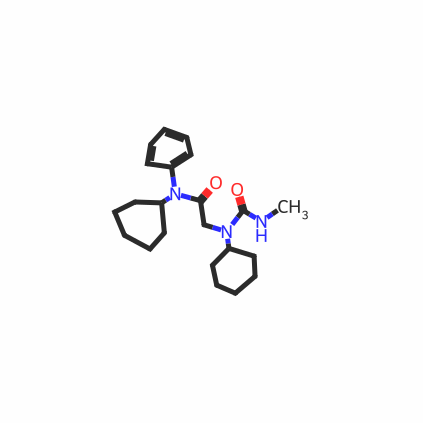 CNC(=O)N(CC(=O)N(c1ccccc1)C1CCCCC1)C1CCCCC1